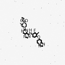 C=CS(=O)(=O)N1CCN(c2ncc3ncnc(Nc4ccc(Oc5ccn6ncnc6c5)c(C)c4F)c3n2)C[C@H]1C